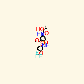 COCc1cc(NC(=O)[C@@H](O)C(C)C)ccc1S(=O)(=O)Nc1cccc(OC(F)(F)F)c1